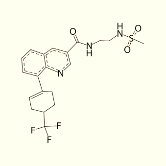 CS(=O)(=O)NCCNC(=O)c1cnc2c(C3=CCC(C(F)(F)F)CC3)cccc2c1